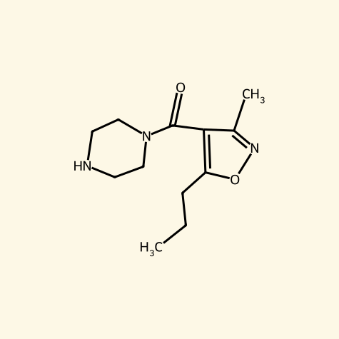 CCCc1onc(C)c1C(=O)N1CCNCC1